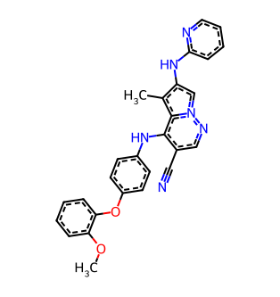 COc1ccccc1Oc1ccc(Nc2c(C#N)cnn3cc(Nc4ccccn4)c(C)c23)cc1